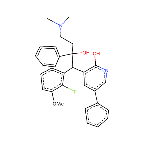 COc1cccc(C(c2cc(-c3ccccc3)cnc2O)C(O)(CCN(C)C)C2=C=C=CC=C2)c1F